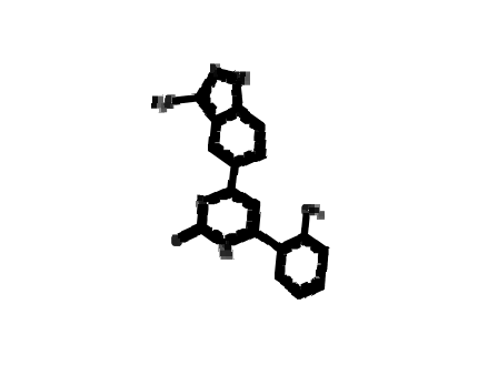 Cc1ccccc1-c1cc(-c2ccc3[nH]nc(C)c3c2)nc(=O)[nH]1